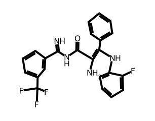 N=C(NC(=O)/C(N)=C(/Nc1ccccc1F)c1ccccc1)c1cccc(C(F)(F)F)c1